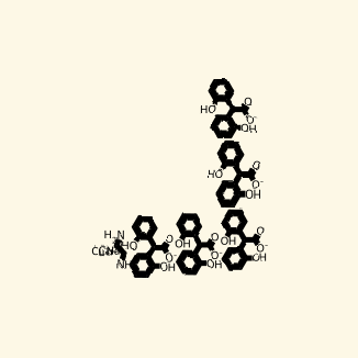 NCCN.O=C([O-])C(c1ccccc1O)c1ccccc1O.O=C([O-])C(c1ccccc1O)c1ccccc1O.O=C([O-])C(c1ccccc1O)c1ccccc1O.O=C([O-])C(c1ccccc1O)c1ccccc1O.O=C([O-])C(c1ccccc1O)c1ccccc1O.[Cu+2].[Cu+2].[Na+]